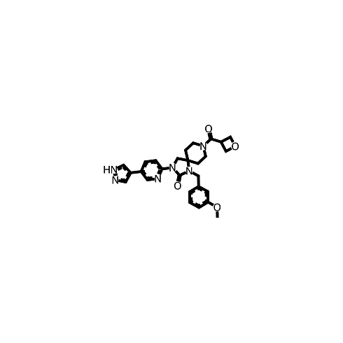 COc1cccc(CN2C(=O)N(c3ccc(-c4cn[nH]c4)cn3)CC23CCN(C(=O)C2COC2)CC3)c1